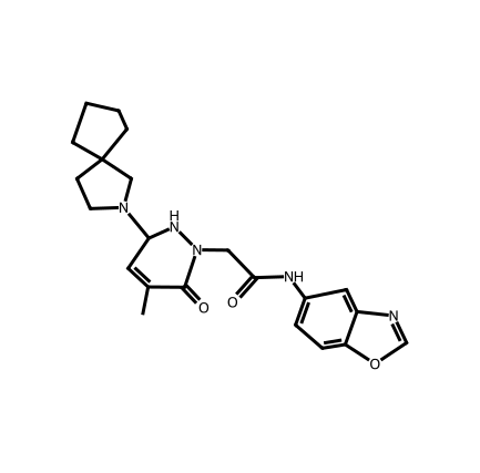 CC1=CC(N2CCC3(CCCC3)C2)NN(CC(=O)Nc2ccc3ocnc3c2)C1=O